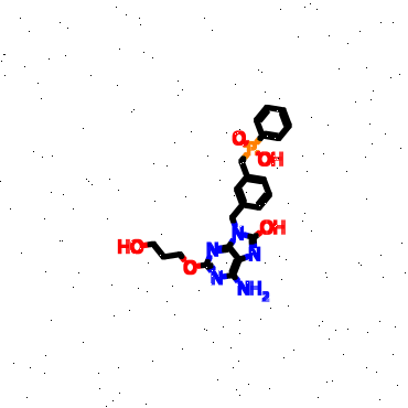 Nc1nc(OCCCO)nc2c1nc(O)n2Cc1cccc(CP(=O)(O)c2ccccc2)c1